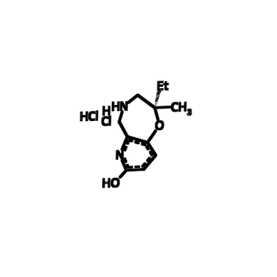 CC[C@@]1(C)CNCc2nc(O)ccc2O1.Cl.Cl